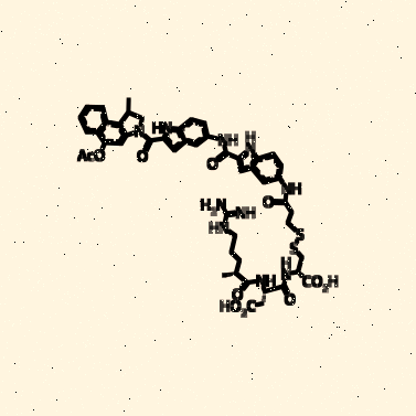 CC(=O)Oc1cc2c(c3ccccc13)C(C)CN2C(=O)c1cc2cc(NC(=O)c3cc4cc(NC(=O)CCSSC[C@H](NC(=O)[C@H](CC(=O)O)NC(=O)[C@@H](C)CCCNC(=N)N)C(=O)O)ccc4[nH]3)ccc2[nH]1